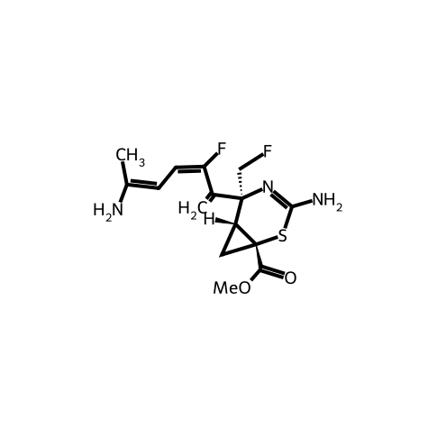 C=C(/C(F)=C\C=C(/C)N)[C@@]1(CF)N=C(N)S[C@]2(C(=O)OC)C[C@@H]21